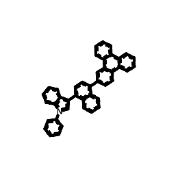 c1ccc(-n2cc(-c3ccc(-c4ccc5c6ccccc6c6ccccc6c5c4)c4ccccc34)c3ccccc32)cc1